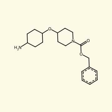 NC1CCC(OC2CCN(C(=O)OCc3ccccc3)CC2)CC1